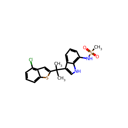 CC(C)(c1cc2c(Cl)cccc2s1)c1c[nH]c2c(NS(C)(=O)=O)cccc12